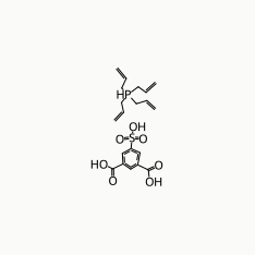 C=CC[PH](CC=C)(CC=C)CC=C.O=C(O)c1cc(C(=O)O)cc(S(=O)(=O)O)c1